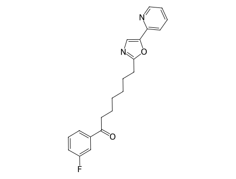 O=C(CCCCCCc1ncc(-c2ccccn2)o1)c1cccc(F)c1